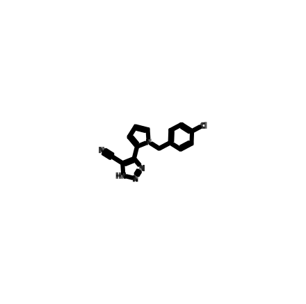 N#Cc1[nH]nnc1-c1cccn1Cc1ccc(Cl)cc1